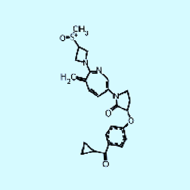 C=C1C=CC(N2CC[C@@H](Oc3ccc(C(=O)C4CC4)cc3)C2=O)=CN=C1N1CC([S+](C)[O-])C1